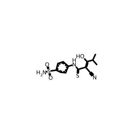 CC(C)C(O)=C(C#N)C(=S)Nc1ccc(S(N)(=O)=O)cc1